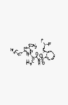 COc1nc(C)nc(N(C)C(=O)NS(=O)(=O)c2ccccc2SC(F)F)n1